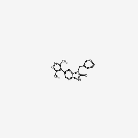 Cc1noc(C)c1-c1cnc2[nH]c(=O)n(Cc3ccccc3)c2c1